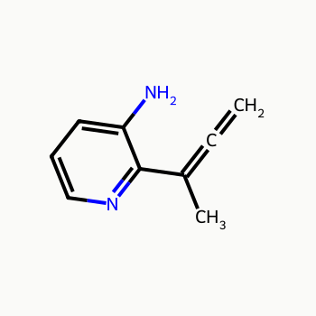 C=C=C(C)c1ncccc1N